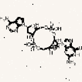 Nc1nc2c(ncn2[C@@H]2O[C@@H]3COP(=O)(O)O[C@H]4C[C@H](n5ccc6c(N)ncnc65)O[C@@H]4COP(=O)(O)O[C@@H]2[C@@H]3O)c(=O)[nH]1